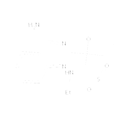 CCNC(C1(c2nc(N)c3ccccc3n2)CC=CO1)S(C)(=O)=O